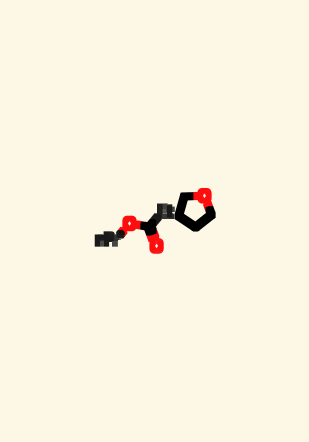 C1CCOC1.CCCOC(=O)CC